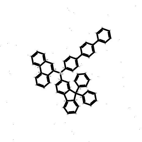 c1ccc(-c2ccc(-c3ccc(N(c4ccc5c(c4)C(c4ccccc4)(c4ccccc4)c4ccccc4-5)c4cc5ccccc5c5ccccc45)cc3)cc2)cc1